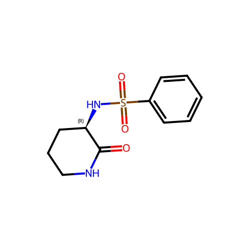 O=C1NCCC[C@H]1NS(=O)(=O)c1ccccc1